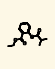 CCOC(=O)c1ccccc1OC(=O)C(C)C